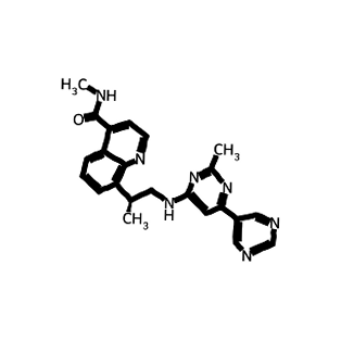 CNC(=O)c1ccnc2c([C@H](C)CNc3cc(-c4cncnc4)nc(C)n3)cccc12